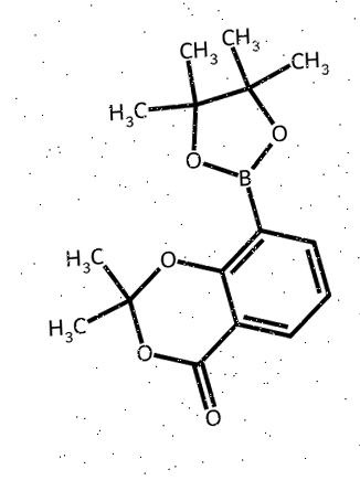 CC1(C)OC(=O)c2cccc(B3OC(C)(C)C(C)(C)O3)c2O1